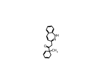 CC1(C(=O)CC2=NNc3ccccc3C=C2)C=CC=CC1